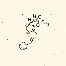 CC(C)(C)OC(=O)N1CCN(Cc2ccccc2)C[C@H]1C=O